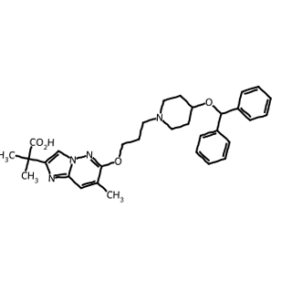 Cc1cc2nc(C(C)(C)C(=O)O)cn2nc1OCCCN1CCC(OC(c2ccccc2)c2ccccc2)CC1